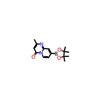 Cc1cc(=O)n2ccc(B3OC(C)(C)C(C)(C)O3)cc2n1